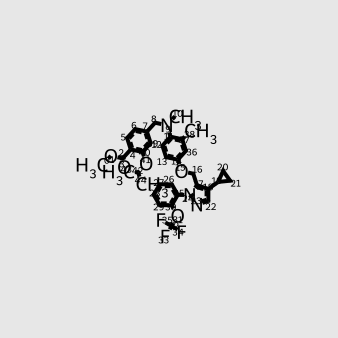 COC(=O)c1ccc(CN(C)c2ccc(OCc3c(C4CC4)cnn3-c3ccccc3OC(F)(F)F)cc2C)cc1OC(C)C